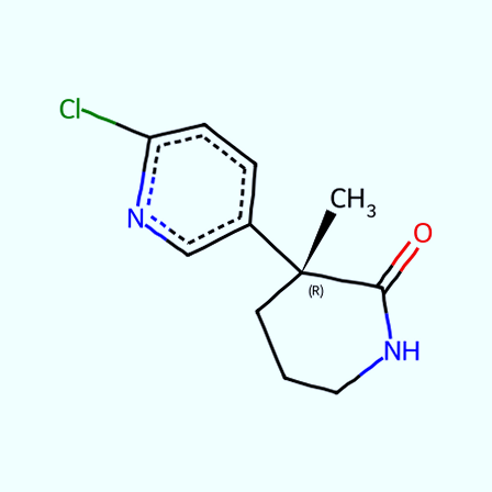 C[C@]1(c2ccc(Cl)nc2)CCCNC1=O